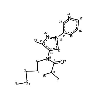 CSCCCN(C(=O)C(C)C)c1cn(-c2cccnc2)nc1C